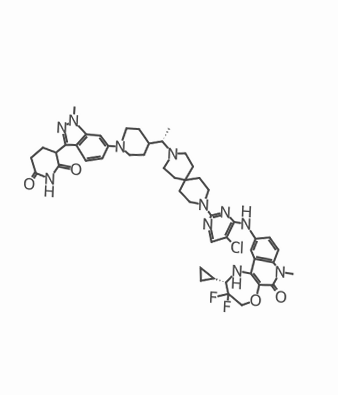 C[C@@H](C1CCN(c2ccc3c(C4CCC(=O)NC4=O)nn(C)c3c2)CC1)N1CCC2(CCN(c3ncc(Cl)c(Nc4ccc5c(c4)c4c(c(=O)n5C)OCC(F)(F)[C@H](C5CC5)N4)n3)CC2)CC1